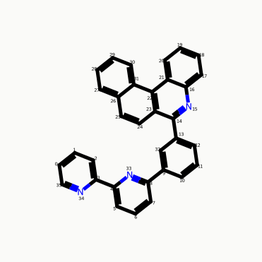 c1ccc(-c2cccc(-c3cccc(-c4nc5ccccc5c5c4ccc4ccccc45)c3)n2)nc1